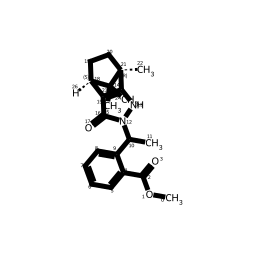 COC(=O)c1ccccc1C(C)n1[nH]c2c(c1=O)[C@H]1CC[C@]2(C)C1(C)C